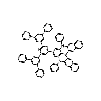 c1ccc(-c2cc(-c3ccccc3)cc(-c3cc(-c4cc5c6c(c4)N(c4ccccc4)c4cc7ccccc7cc4B6c4cc6ccccc6cc4N5c4ccccc4)nc(-c4cc(-c5ccccc5)cc(-c5ccccc5)c4)n3)c2)cc1